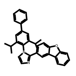 CC(C)c1cc(-c2ccccc2)cc(C(C)C)c1-n1ccnc1-c1ccc2oc3ccccc3c2c1